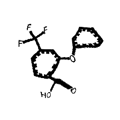 O=C(O)c1ccc(C(F)(F)F)cc1Oc1ccccc1